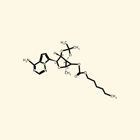 CCCCCCOC(=O)OC1[C@@]2(C)O[C@@H](c3ccc4c(N)ncnn34)[C@@H]3OC(C)(C)O[C@@]132